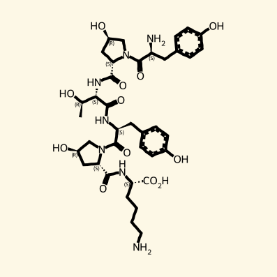 C[C@@H](O)[C@H](NC(=O)[C@@H]1C[C@@H](O)CN1C(=O)[C@@H](N)Cc1ccc(O)cc1)C(=O)N[C@@H](Cc1ccc(O)cc1)C(=O)N1C[C@H](O)C[C@H]1C(=O)N[C@@H](CCCCN)C(=O)O